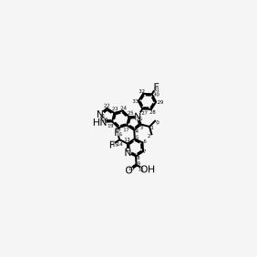 CC(C)c1c(-c2ccc(C(=O)O)nc2C(F)F)c2cc3[nH]ncc3cc2n1-c1ccc(F)cc1